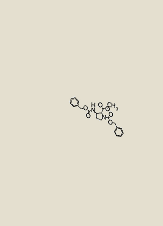 COC(=O)[C@@H]1[C@H](NC(=O)OCc2ccccc2)CCN1C(=O)OCc1ccccc1